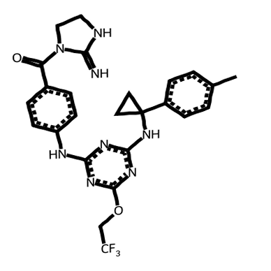 Cc1ccc(C2(Nc3nc(Nc4ccc(C(=O)N5CCNC5=N)cc4)nc(OCC(F)(F)F)n3)CC2)cc1